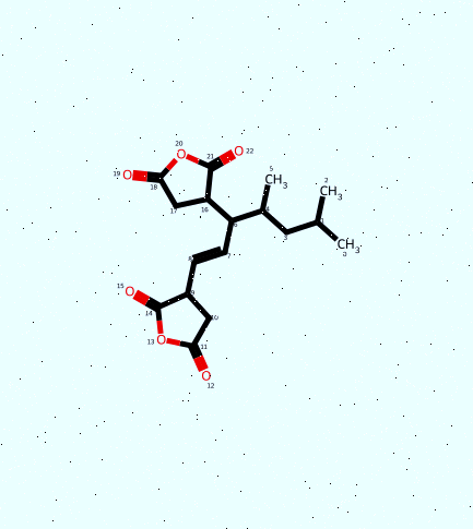 CC(C)CC(C)C(C=CC1CC(=O)OC1=O)C1CC(=O)OC1=O